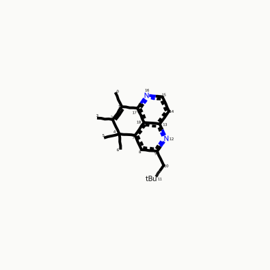 CC1=C(C)C(C)(C)c2cc(CC(C)(C)C)nc3ccnc1c23